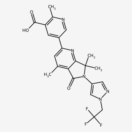 Cc1cc(-c2cnc(C)c(C(=O)O)c2)nc2c1C(=O)N(c1cnn(CC(F)(F)F)c1)C2(C)C